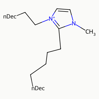 CCCCCCCCCCCCCCc1n(C)cc[n+]1CCCCCCCCCCCC